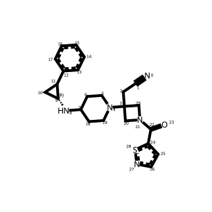 N#CCC1(N2CCC(N[C@@H]3CC3c3ccccc3)CC2)CN(C(=O)c2ccns2)C1